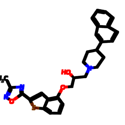 Cc1noc(-c2cc3c(OC[C@@H](O)CN4CCC(c5ccc6ccccc6c5)CC4)cccc3s2)n1